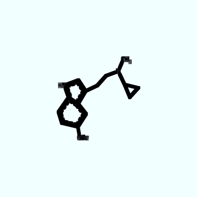 CC(=O)Oc1ccc2[nH]cc(CCN(C)C3CC3)c2c1